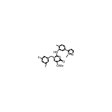 COc1cn(Cc2cc(F)cc(F)c2)c(Nc2cc(-c3ccnn3C)ccc2C)nc1=O